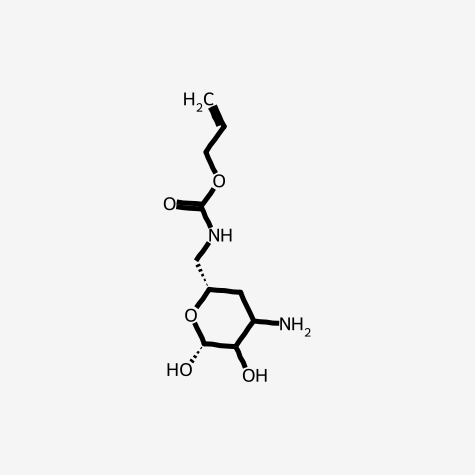 C=CCOC(=O)NC[C@@H]1CC(N)C(O)[C@H](O)O1